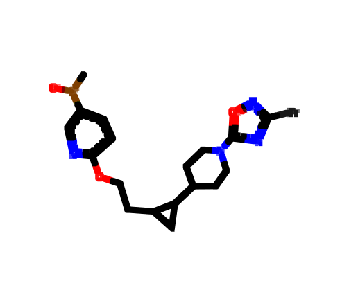 CC(C)c1noc(N2CCC(C3CC3CCOc3ccc([S+](C)[O-])cn3)CC2)n1